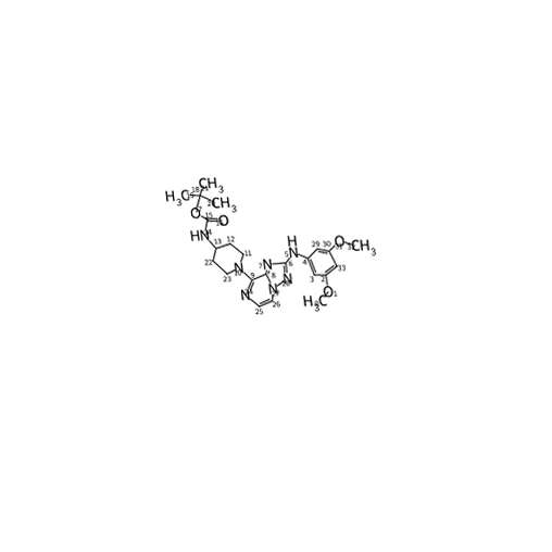 COc1cc(Nc2nc3c(N4CCC(NC(=O)OC(C)(C)C)CC4)nccn3n2)cc(OC)c1